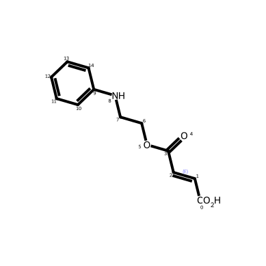 O=C(O)/C=C/C(=O)OCCNc1ccccc1